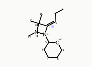 CC/C=C1/N(C2CCCCO2)N(C)C1(C)C